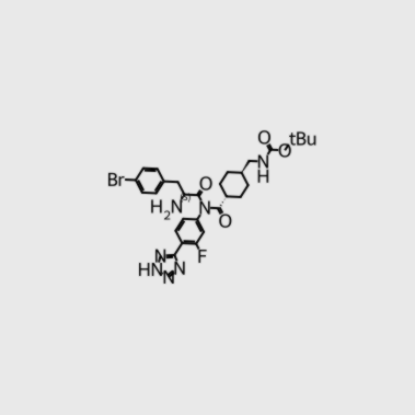 CC(C)(C)OC(=O)NC[C@H]1CC[C@H](C(=O)N(C(=O)[C@@H](N)Cc2ccc(Br)cc2)c2ccc(-c3nn[nH]n3)c(F)c2)CC1